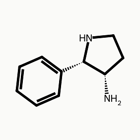 N[C@H]1CCN[C@H]1c1ccccc1